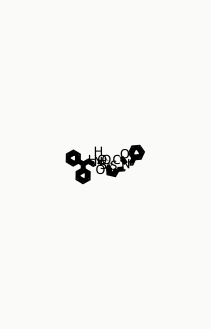 O=C(O)C(=O)N(Cc1ccccc1)Cc1ccc(S(=O)(=O)NCCC(c2ccccc2)c2ccccc2)s1